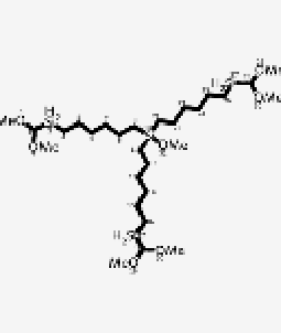 COC(OC)[SiH2]CCCCCC[Si](CCCCCC[SiH2]C(OC)OC)(CCCCCC[SiH2]C(OC)OC)OC